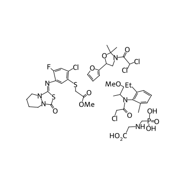 CC1(C)OC(c2ccco2)CN1C(=O)C(Cl)Cl.CCc1cccc(C)c1N(C(=O)CCl)C(C)COC.COC(=O)CSc1cc(/N=c2\sc(=O)n3n2CCCC3)c(F)cc1Cl.O=C(O)CNCP(=O)(O)O